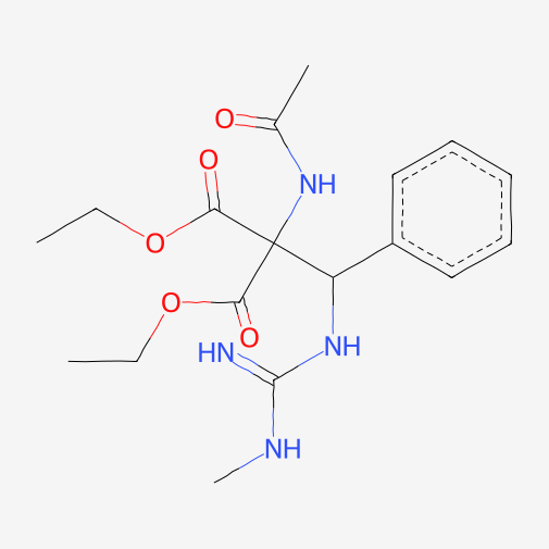 CCOC(=O)C(NC(C)=O)(C(=O)OCC)C(NC(=N)NC)c1ccccc1